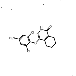 Nc1cc(Cl)c(Oc2n[nH]c(=O)c3c2CCCC3)c(Cl)c1